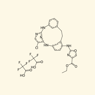 CCOC(=O)c1coc(Nc2ccc3cc2CCc2cccc(c2)Nc2ncc(Cl)c(n2)N3)n1.O=C(O)C(F)(F)F.O=C(O)C(F)(F)F